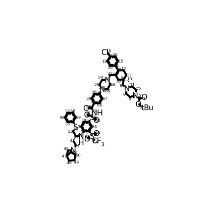 CC(C)(C)OC(=O)N1CCN(C[C@]2(C)CCC(c3ccc(Cl)cc3)=C(CN3CCN(c4ccc(C(=O)NS(=O)(=O)c5ccc(N[C@H](CCN6CC7CCC6C7)CSc6ccccc6)c(S(=O)(=O)C(F)(F)F)c5)cc4)CC3)C2)CC1